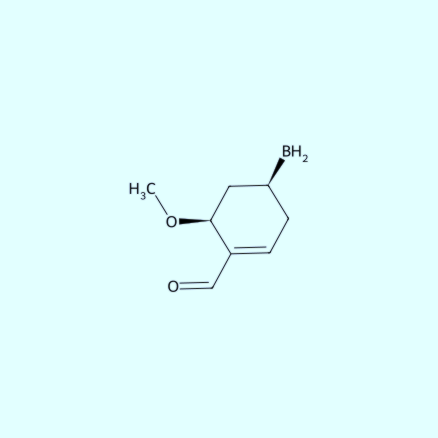 B[C@H]1CC=C(C=O)[C@@H](OC)C1